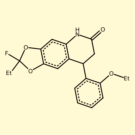 CCOc1ccccc1C1CC(=O)Nc2cc3c(cc21)OC(F)(CC)O3